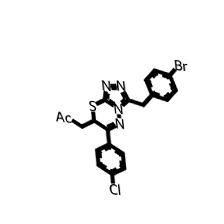 CC(=O)CC1Sc2nnc(Cc3ccc(Br)cc3)n2N=C1c1ccc(Cl)cc1